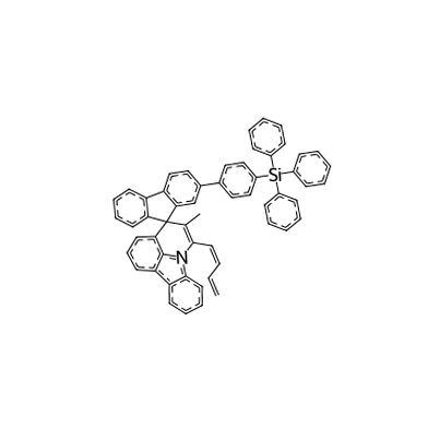 C=C/C=C\C1=C(C)C2(c3ccccc3-c3ccc(-c4ccc([Si](c5ccccc5)(c5ccccc5)c5ccccc5)cc4)cc32)c2cccc3c4ccccc4n1c23